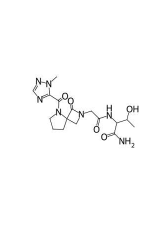 CC(O)C(NC(=O)CN1CC2(CCCN2C(=O)c2ncnn2C)C1=O)C(N)=O